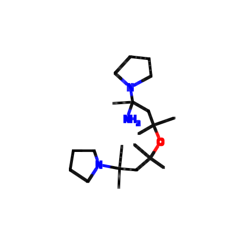 CC(C)(CC(C)(C)N1CCCC1)OC(C)(C)CC(C)(N)N1CCCC1